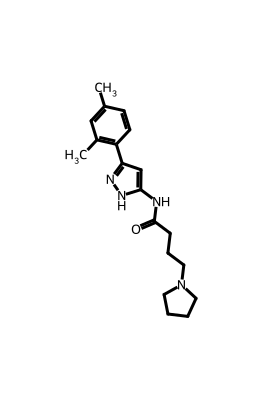 Cc1ccc(-c2cc(NC(=O)CCCN3CCCC3)[nH]n2)c(C)c1